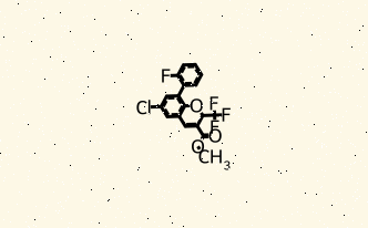 COC(=O)C1=Cc2cc(Cl)cc(-c3ccccc3F)c2OC1C(F)(F)F